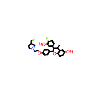 CC1=C(c2ccc(F)c(O)c2)C(c2ccc(OCCN3CCC(CF)C3)cc2)Oc2ccc(O)cc21